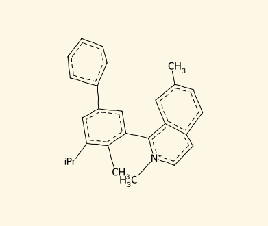 Cc1ccc2cc[n+](C)c(-c3cc(-c4ccccc4)cc(C(C)C)c3C)c2c1